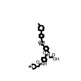 CC1=CC=C(c2ccc(-c3nc(-c4ccc(CN(CC(=O)O)C(=O)c5ccc(NC(=O)CC6CCN(C)CC6)cc5)cc4)no3)cc2)C=CC1